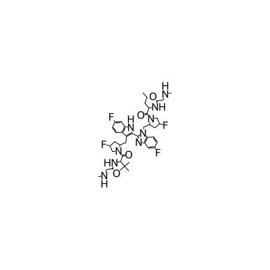 CCCC(NC(=O)CNC)C(=O)N1CC(F)CC1Cn1c(-c2[nH]c3cc(F)ccc3c2CC2CC(F)CN2C(=O)C(NC(=O)CNC)C(C)(C)C)nc2cc(F)ccc21